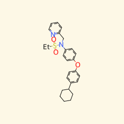 CCS(=O)(=O)N(Cc1ccccn1)c1ccc(Oc2ccc(C3CCCCC3)cc2)cc1